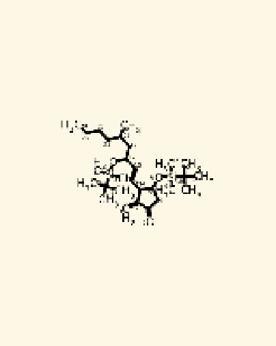 C=C1C(=O)CC(O[Si](C)(C)C(C)(C)C)C1/C=C/C(CC(C)CCCC)O[Si](C)(C)C(C)(C)C